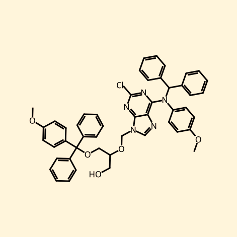 COc1ccc(N(c2nc(Cl)nc3c2ncn3COC(CO)COC(c2ccccc2)(c2ccccc2)c2ccc(OC)cc2)C(c2ccccc2)c2ccccc2)cc1